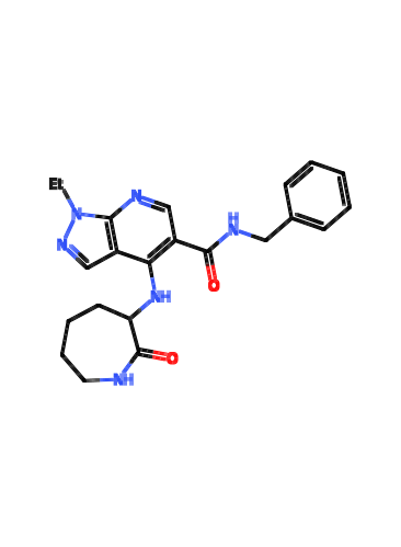 CCn1ncc2c(NC3CCCCNC3=O)c(C(=O)NCc3ccccc3)cnc21